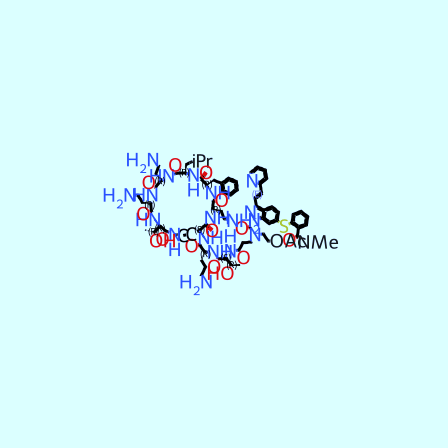 CNC(=O)c1ccccc1Sc1ccc2c(/C=C/c3ccccn3)nn(C(=O)N(CCOC(C)=O)CCC(=O)N[C@H](C(=O)N[C@H](CCCN)C(=O)N[C@H]3CCNC(=O)[C@@H]([C@@H](C)O)NC(=O)[C@@H](CCN)NC(=O)[C@@H](CCN)NC(=O)[C@@H](CC(C)C)NC(=O)[C@@H](Cc4ccccc4)NC(=O)[C@@H](CCN)NC3=O)[C@@H](C)O)c2c1